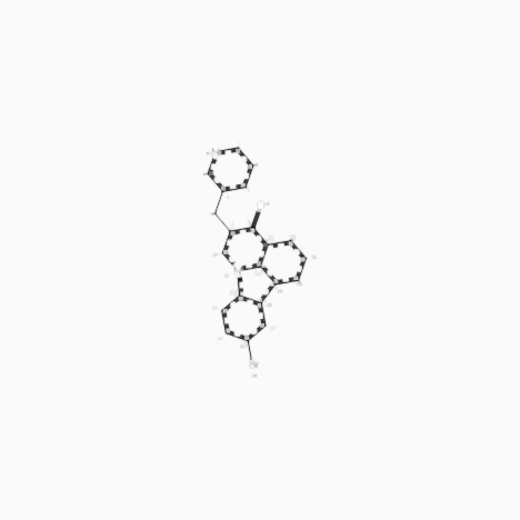 O=c1c(Cc2cccnc2)cn2c3ccc(Br)cc3c3cccc1c32